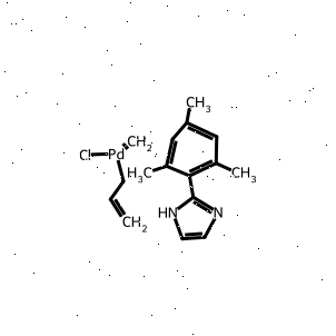 C=C[CH2][Pd](=[CH2])[Cl].Cc1cc(C)c(-c2ncc[nH]2)c(C)c1